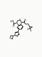 C[C@H]1CN(C(=O)O)c2cc(-c3cnn(C4COC4)c3)ccc2N1C(=O)CCC1CC1(F)F